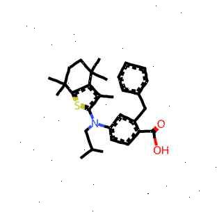 Cc1c(N(CC(C)C)c2ccc(C(=O)O)c(Cc3ccccc3)c2)sc2c1C(C)(C)CCC2(C)C